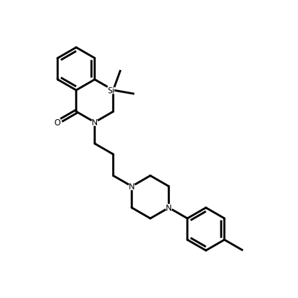 Cc1ccc(N2CCN(CCCN3C[Si](C)(C)c4ccccc4C3=O)CC2)cc1